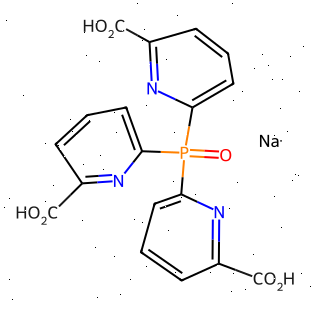 O=C(O)c1cccc(P(=O)(c2cccc(C(=O)O)n2)c2cccc(C(=O)O)n2)n1.[Na]